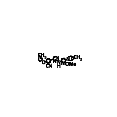 COc1nc(Nc2nccc(-c3ccc(OC4CCN(C)C4)c(C#N)c3)n2)ccc1N1CCN(C)CC1